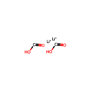 O=[C-]O.O=[C-]O.[Li+].[Li+]